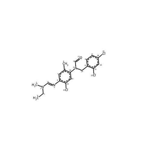 CCN(C)C=Nc1cc(C)c(N(C=O)Cc2ccc(Cl)cc2Cl)cc1Cl